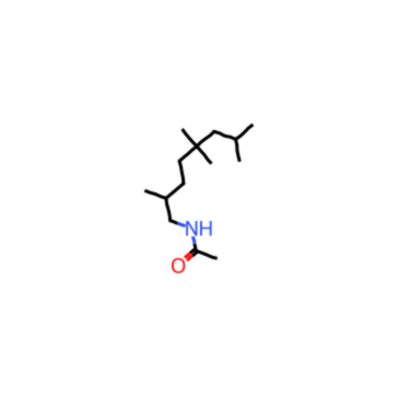 CC(=O)NCC(C)CCC(C)(C)CC(C)C